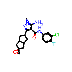 Cn1nc(C2CC3CC4(CO4)CC3C2)c(C(=O)Nc2ccc(F)c(Cl)c2)c1N